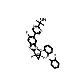 CC(C)(O)c1ncc(-c2cc3c(cc2F)nc2n3[C@@H](c3ccccc3Oc3ccccc3F)[C@@H]3C[C@H]23)cn1